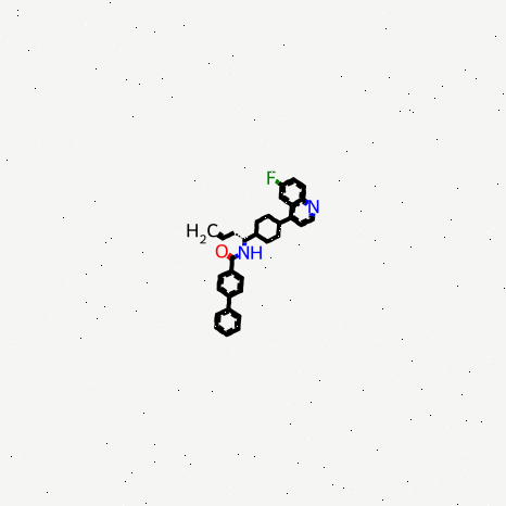 C=CC[C@@H](NC(=O)c1ccc(-c2ccccc2)cc1)C1CCC(c2ccnc3ccc(F)cc23)CC1